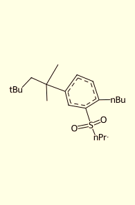 CC[CH]S(=O)(=O)c1cc(C(C)(C)CC(C)(C)C)ccc1CCCC